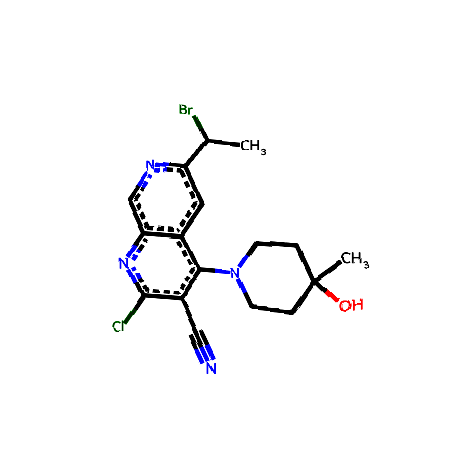 CC(Br)c1cc2c(N3CCC(C)(O)CC3)c(C#N)c(Cl)nc2cn1